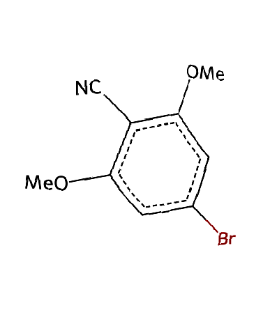 COc1cc(Br)cc(OC)c1C#N